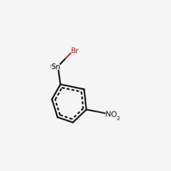 O=[N+]([O-])c1ccc[c]([Sn][Br])c1